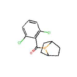 O=C(c1c(Cl)cccc1Cl)P1C2CCC1CC2